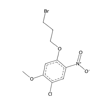 COc1cc(OCCCBr)c([N+](=O)[O-])cc1Cl